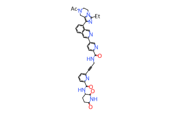 CCc1nc(-c2cccc3cc(-c4ccc(C(=O)NCC#Cc5cccc(C(=O)NC6CCC(=O)NC6=O)n5)nc4)ncc23)c2n1CCN(C(C)=O)C2